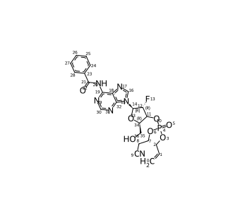 C=CCOP(=O)(OCCC#N)OC1[C@@H](F)[C@H](n2cnc3c(NC(=O)c4ccccc4)ncnc32)O[C@@H]1CO